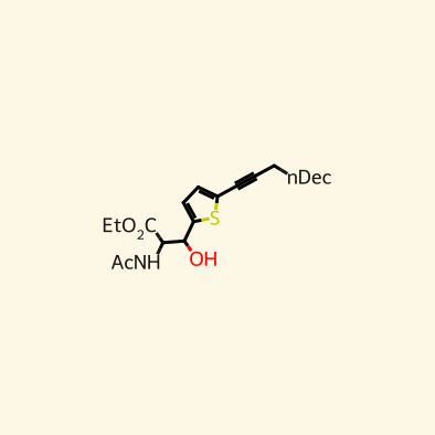 CCCCCCCCCCCC#Cc1ccc(C(O)C(NC(C)=O)C(=O)OCC)s1